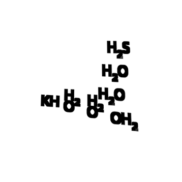 O.O.O.O.O.S.[KH]